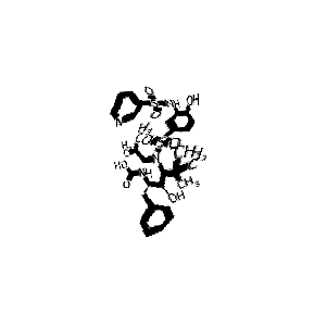 CC(C)CN(C([C@H](O)[C@H](Cc1ccccc1)NC(=O)O)C(C)(C)C)S(=O)(=O)c1ccc(O)c(NS(=O)(=O)c2cccnc2)c1